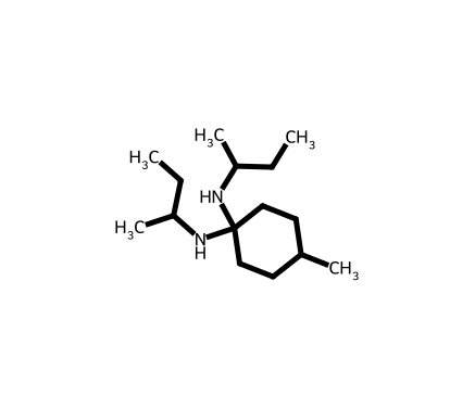 CCC(C)NC1(NC(C)CC)CCC(C)CC1